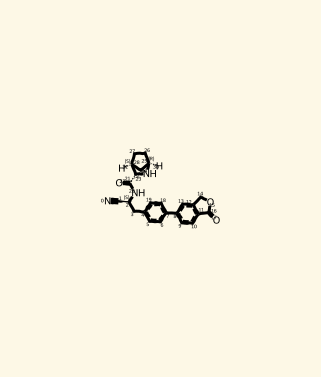 N#C[C@H](Cc1ccc(-c2ccc3c(c2)COC3=O)cc1)NC(=O)[C@H]1N[C@@H]2CC[C@H]1C2